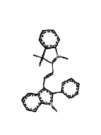 Cn1c(-c2ccccc2)c(/C=C/C2=[N+](C)c3ccccc3C2(C)C)c2ccccc21